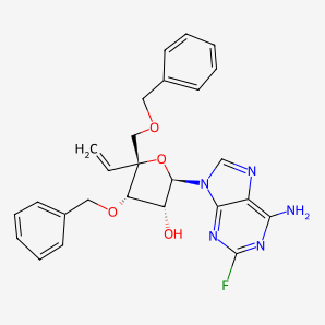 C=C[C@]1(COCc2ccccc2)O[C@@H](n2cnc3c(N)nc(F)nc32)[C@H](O)[C@@H]1OCc1ccccc1